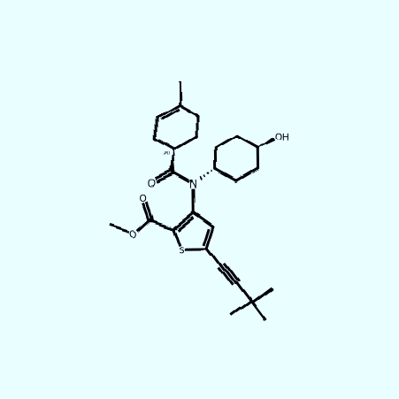 COC(=O)c1sc(C#CC(C)(C)C)cc1N(C(=O)[C@H]1CC=C(C)CC1)[C@H]1CC[C@H](O)CC1